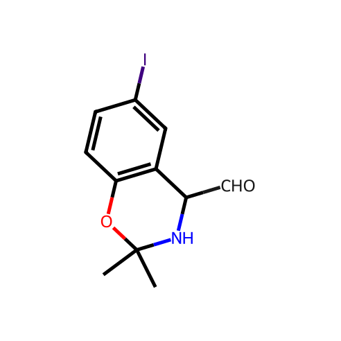 CC1(C)NC(C=O)c2cc(I)ccc2O1